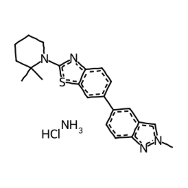 Cl.Cn1cc2cc(-c3ccc4nc(N5CCCCC5(C)C)sc4c3)ccc2n1.N